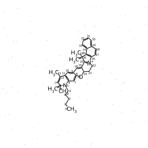 CCCCCN1c2cc3c(cc2C(C)=CC1(C)C)C=C1C2=[N+](CCC1O3)c1ccc3ccccc3c1C2(C)C